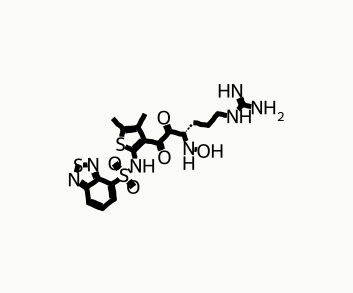 Cc1sc(NS(=O)(=O)c2cccc3nsnc23)c(C(=O)C(=O)[C@H](CCCNC(=N)N)NO)c1C